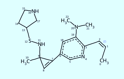 C/C=C\c1ncc(C2=CC2(C)NSC2CCNC2)cc1N(C)C